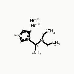 CCN(CC)C(C)n1ccnc1.Cl.Cl